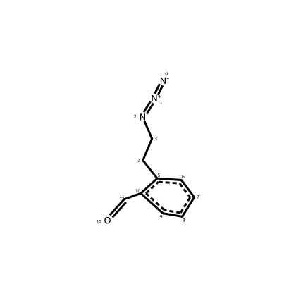 [N-]=[N+]=NCCc1ccccc1C=O